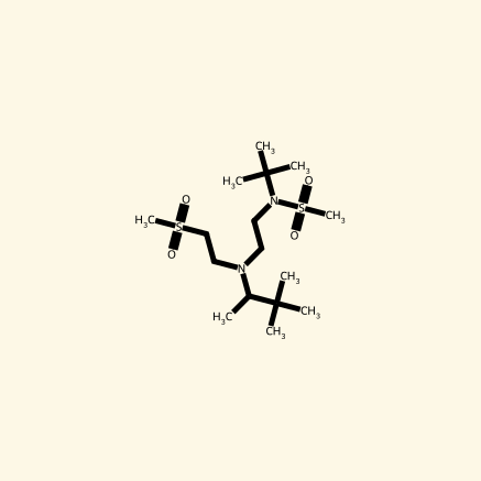 CC(N(CCN(C(C)(C)C)S(C)(=O)=O)CCS(C)(=O)=O)C(C)(C)C